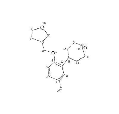 Fc1ccc(OCC2CCOC2)c(C2CCNCC2)c1